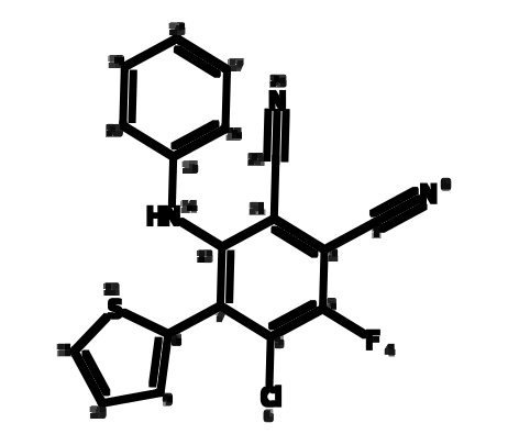 N#Cc1c(F)c(Cl)c(-c2cccs2)c(Nc2ccccc2)c1C#N